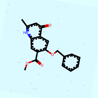 COC(=O)c1cc2[nH]c(C)cc(=O)c2cc1OCc1ccccc1